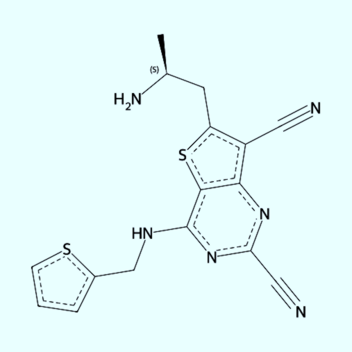 C[C@H](N)Cc1sc2c(NCc3cccs3)nc(C#N)nc2c1C#N